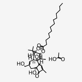 CC(=O)O.CCCCCCCCCCCCCC(=O)O[C@@H]1[C@@H](C)[C@@]2(O)[C@@H](C=C(CO)C[C@]3(O)C(=O)C(C)=C[C@@H]23)[C@H]2C(C)(C)[C@]12O